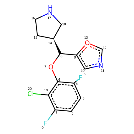 Fc1ccc(F)c(OC(c2cnco2)[C@H]2CCNC2)c1Cl